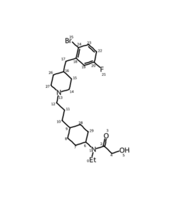 CCN(C(=O)CO)C1CCC(CCCN2CCC(Cc3cc(F)ccc3Br)CC2)CC1